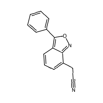 N#CCc1cccc2c(-c3ccccc3)onc12